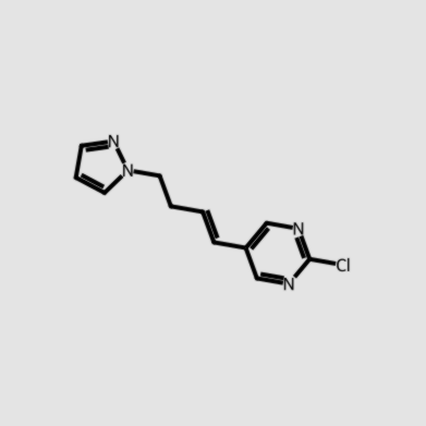 Clc1ncc(C=CCCn2cccn2)cn1